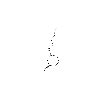 CC(C)CCCON1CCCC(=O)C1